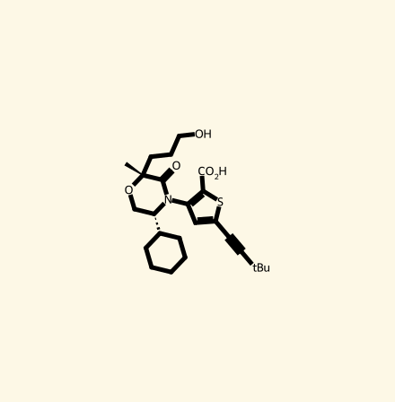 CC(C)(C)C#Cc1cc(N2C(=O)[C@@](C)(CCCO)OC[C@H]2C2CCCCC2)c(C(=O)O)s1